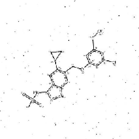 CS(=O)(=O)Nc1nnc2cc(COc3cc(Cl)cc(OC(F)(F)F)c3)c(C3CC3)cn12